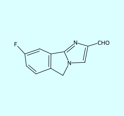 O=Cc1cn2c(n1)-c1cc(F)ccc1C2